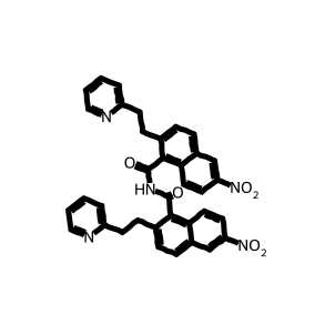 O=C(NC(=O)c1c(CCc2ccccn2)ccc2cc([N+](=O)[O-])ccc12)c1c(CCc2ccccn2)ccc2cc([N+](=O)[O-])ccc12